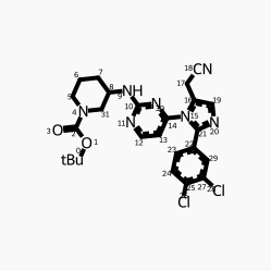 CC(C)(C)OC(=O)N1CCCC(Nc2nccc(-n3c(CC#N)cnc3-c3ccc(Cl)c(Cl)c3)n2)C1